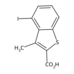 Cc1c(C(=O)O)sc2cccc(I)c12